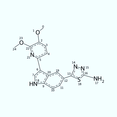 COc1ccc(-c2c[nH]c3ccc(-c4nnc(N)s4)cc23)nc1OC